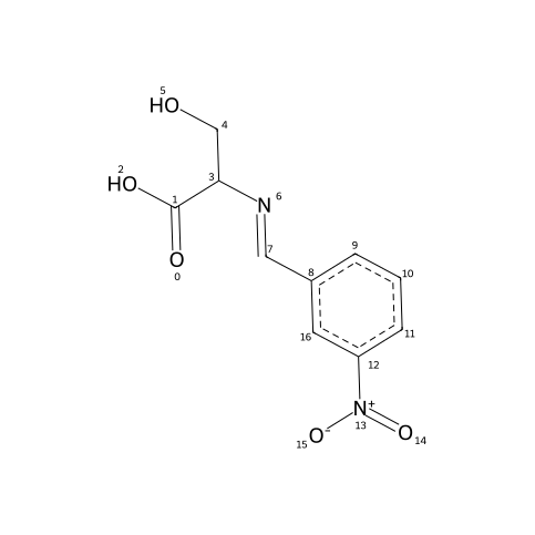 O=C(O)C(CO)N=Cc1cccc([N+](=O)[O-])c1